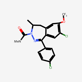 CNC(=O)N1N=C(c2ccc(Cl)cc2)c2cc(Cl)c(OC(F)(F)F)cc2CC1C